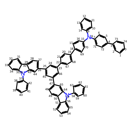 c1ccc(-c2ccc(N(c3ccccc3)c3ccc(-c4ccc(-c5cc(-c6ccc7c8ccccc8n(-c8ccccc8)c7c6)cc(-c6ccc7c8ccccc8n(-c8ccccc8)c7c6)c5)cc4)cc3)cc2)cc1